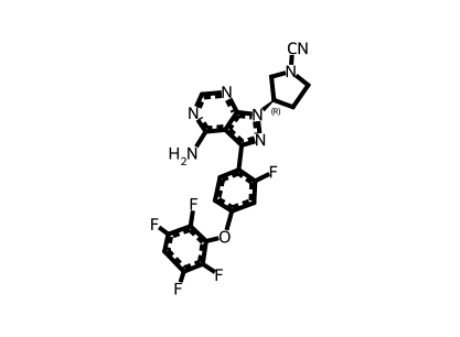 N#CN1CC[C@@H](n2nc(-c3ccc(Oc4c(F)c(F)cc(F)c4F)cc3F)c3c(N)ncnc32)C1